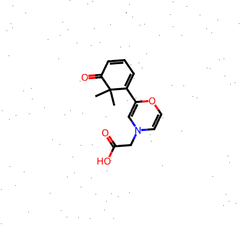 CC1(C)C(=O)C=CC=C1C1=CN(CC(=O)O)C=CO1